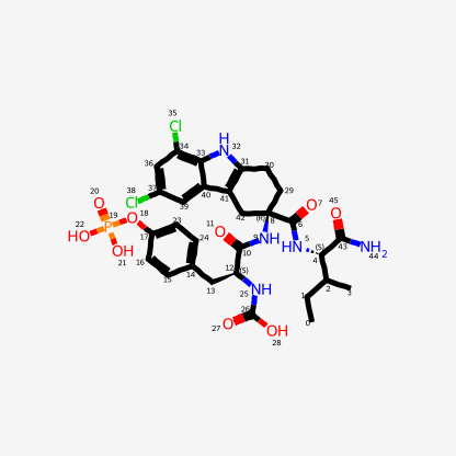 CCC(C)[C@H](NC(=O)[C@@]1(NC(=O)[C@H](Cc2ccc(OP(=O)(O)O)cc2)NC(=O)O)CCc2[nH]c3c(Cl)cc(Cl)cc3c2C1)C(N)=O